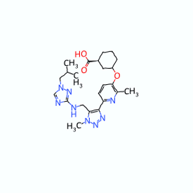 Cc1nc(-c2nnn(C)c2CNc2ncn(CC(C)C)n2)ccc1OC1CCC[C@H](C(=O)O)C1